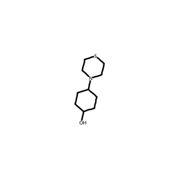 OC1CCC(N2CCSCC2)CC1